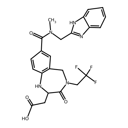 CN(Cc1nc2ccccc2[nH]1)C(=O)c1ccc2c(c1)CN(CC(F)(F)F)C(=O)C(CC(=O)O)N2